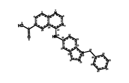 O=C(O)c1ccc2ncnc(Nc3ccc4c(cnn4Cc4ccccc4)c3)c2c1